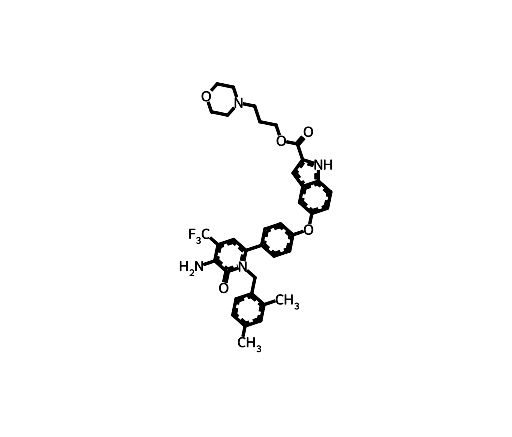 Cc1ccc(Cn2c(-c3ccc(Oc4ccc5[nH]c(C(=O)OCCCN6CCOCC6)cc5c4)cc3)cc(C(F)(F)F)c(N)c2=O)c(C)c1